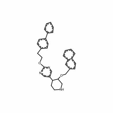 c1ccc(-c2ccc(CCOc3ncc(C4CCNCC4OCc4ccc5ccccc5c4)cn3)cc2)cc1